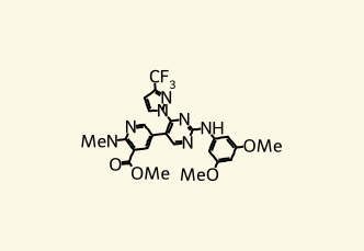 CNc1ncc(-c2cnc(Nc3cc(OC)cc(OC)c3)nc2-n2ccc(C(F)(F)F)n2)cc1C(=O)OC